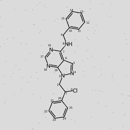 ClC(Cn1ncc2c(NCc3ccccc3)ncnc21)c1ccccc1